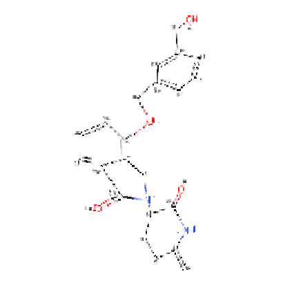 C=C1CCC(N2Cc3c(OCc4cccc(CO)c4)cccc3C2=O)C(=O)N1